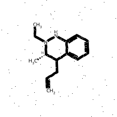 C=CCC1c2ccccc2NN(CC)[C@H]1C